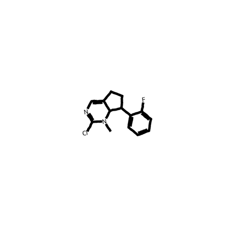 CN1C(Cl)=NC=C2CCC(c3ccccc3F)C21